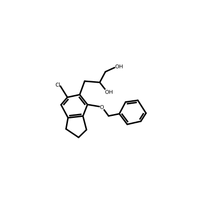 OCC(O)Cc1c(Cl)cc2c(c1OCc1ccccc1)CCC2